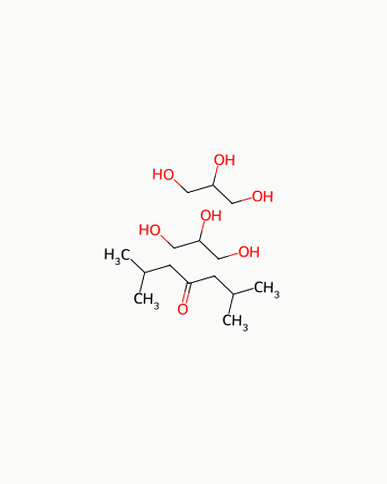 CC(C)CC(=O)CC(C)C.OCC(O)CO.OCC(O)CO